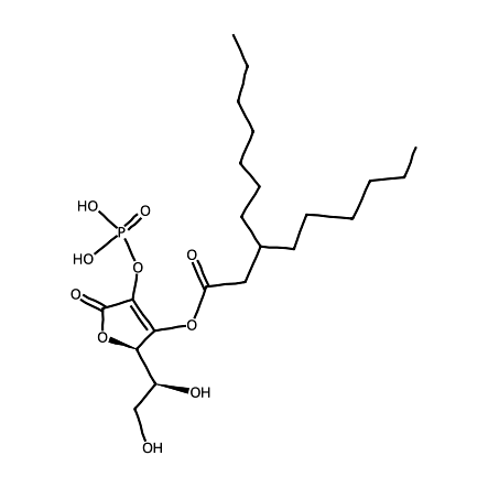 CCCCCCCC(CCCCCC)CC(=O)OC1=C(OP(=O)(O)O)C(=O)O[C@@H]1[C@@H](O)CO